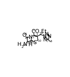 CCOC(=O)C1=C(Cn2nnc(C)n2)CS[C@H]2C(N)C(=O)N12